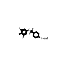 CCCCCC1CCC(C(F)(F)Oc2cc(F)c(C)c(F)c2)CC1